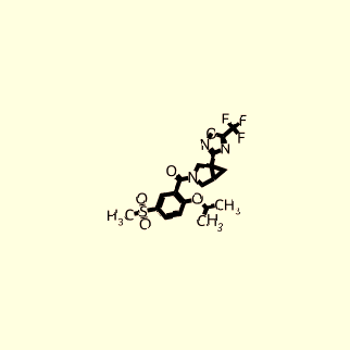 CC(C)Oc1ccc(S(C)(=O)=O)cc1C(=O)N1CC2CC2(c2noc(C(F)(F)F)n2)C1